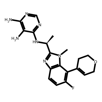 C[C@H](Nc1ncnc(N)c1N)c1nc2ccc(F)c(C3=CCOCC3)c2n1C